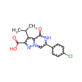 CC(C)c1c(C(=O)O)nn2cc(-c3ccc(Cl)cc3)[nH]c(=O)c12